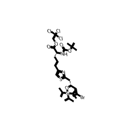 C/C(Br)=C\[C@@H](Cc1nc(CCC[C@@H](NC(=O)OC(C)(C)C)C(=O)OCC(Cl)(Cl)Cl)cs1)O[Si](C(C)C)(C(C)C)C(C)C